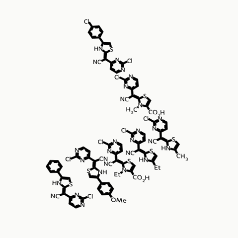 CC1=CSC(=C(C#N)c2ccnc(Cl)n2)N1.CCC1=CSC(=C(C#N)c2ccnc(Cl)n2)N1.CCN1C(C(=O)O)=CSC1=C(C#N)c1ccnc(Cl)n1.CN1C(C(=O)O)=CSC1=C(C#N)c1ccnc(Cl)n1.COc1ccc(C2=CSC(=C(C#N)c3ccnc(Cl)n3)N2)cc1.N#CC(=C1NC(c2ccc(Cl)cc2)=CS1)c1ccnc(Cl)n1.N#CC(=C1NC(c2ccccc2)=CS1)c1ccnc(Cl)n1